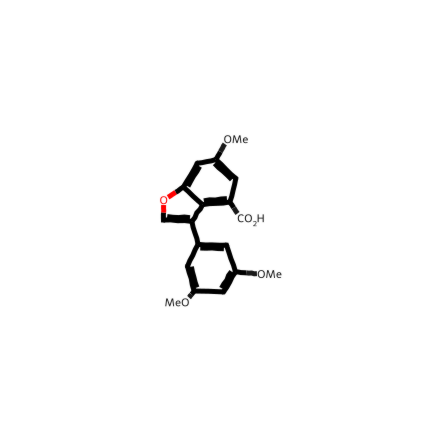 COc1cc(OC)cc(-c2coc3cc(OC)cc(C(=O)O)c23)c1